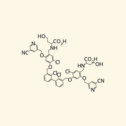 N#Cc1cncc(COc2cc(OCc3cccc(-c4cccc(COc5cc(OCc6cncc(C#N)c6)c(CNC(CCO)C(=O)O)cc5Cl)c4Cl)c3Cl)c(Cl)cc2CNC(CCO)C(=O)O)c1